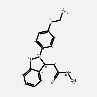 CCOc1ccc(N2Sc3ccccc3C2CC(=O)NO)cc1